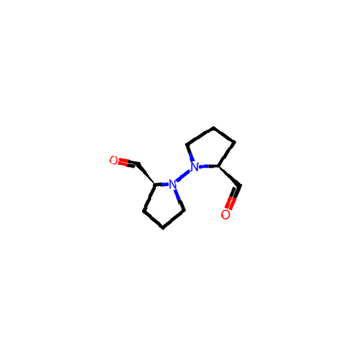 O=C[C@@H]1CCCN1N1CCC[C@H]1C=O